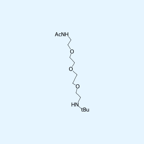 CC(=O)NCCOCCOCCOCCNC(C)(C)C